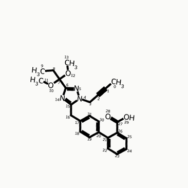 CC#CCn1nc(C(CC)(OC)OC)nc1Cc1ccc(-c2ccccc2C(=O)O)cc1